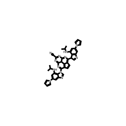 CC(C)Nc1cc(-n2cccc2)cc2c1C(C1=C3C=CC4=C3C3C(=NC(C#N)=NC3=N1)N=C4n1cnc3cc(-n4cccc4)cc(NC(C)C)c31)C=N2